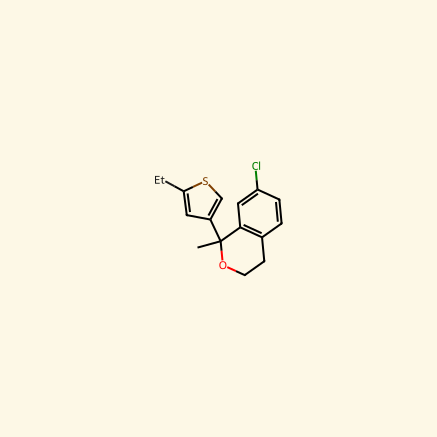 CCc1cc(C2(C)OCCc3ccc(Cl)cc32)cs1